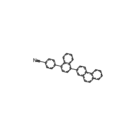 N#Cc1ccc(-c2ccc(-c3ccc4c(ccc5ccccc54)c3)c3ccccc23)cc1